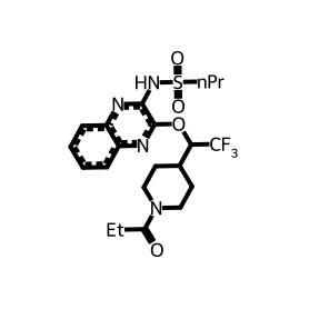 CCCS(=O)(=O)Nc1nc2ccccc2nc1OC(C1CCN(C(=O)CC)CC1)C(F)(F)F